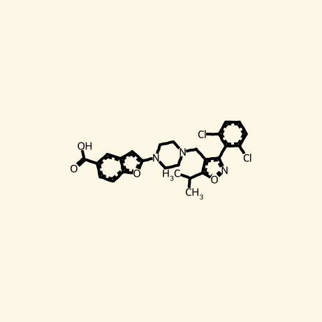 CC(C)c1onc(-c2c(Cl)cccc2Cl)c1CN1CCN(c2cc3cc(C(=O)O)ccc3o2)CC1